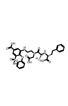 C[C@H](N[C@@H](CCc1ccccc1)C(=O)O)C(=O)N(CCNc1cc(C(=O)O)cc(S(N)(=O)=O)c1Oc1ccccc1)CC(=O)O